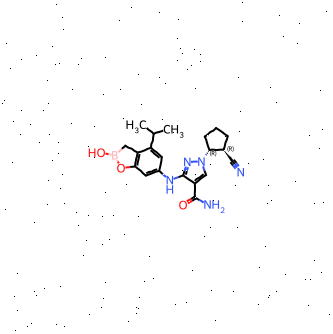 CC(C)c1cc(Nc2nn([C@@H]3CCC[C@H]3C#N)cc2C(N)=O)cc2c1CB(O)O2